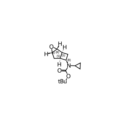 CC(C)(C)OC(=O)N(C1CC1)[C@@H]1C[C@H]2[C@@H]1C[C@@H]1O[C@H]21